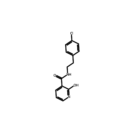 O=C(NCCc1ccc(Cl)cc1)c1cccnc1O